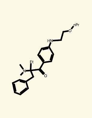 CCCOCCNc1ccc(C(=O)C(CC)(Cc2ccccc2)N(C)C)cc1